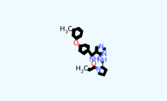 C=CC(=O)N1CCC[C@H]1CNc1ncncc1C(=N)c1ccc(Oc2cccc(C)c2)cc1